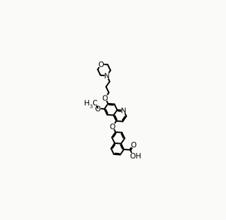 COc1cc2c(Oc3ccc4c(C(=O)O)cccc4c3)ccnc2cc1OCCCN1CCOCC1